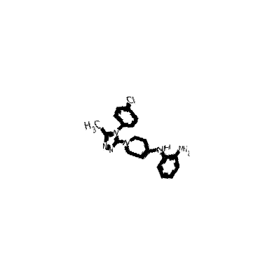 Cc1nnc(N2CCC(Nc3ccccc3N)CC2)n1-c1ccc(Cl)cc1